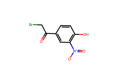 O=C(CBr)c1ccc(O)c([N+](=O)[O-])c1